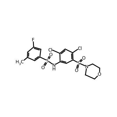 Cc1cc(F)cc(S(=O)(=O)Nc2cc(S(=O)(=O)N3CCOCC3)c(Cl)cc2Cl)c1